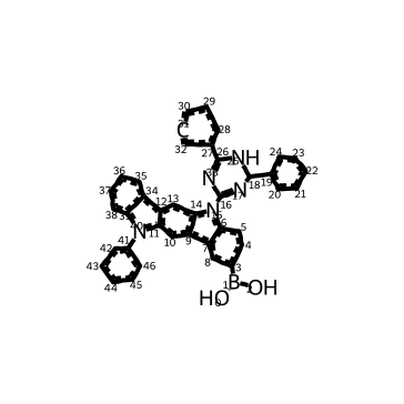 OB(O)c1ccc2c(c1)c1cc3c(cc1n2C1=NC(c2ccccc2)NC(c2ccccc2)=N1)c1ccccc1n3-c1ccccc1